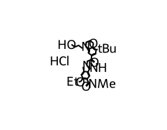 CCOc1cc2c(cc1C(=O)NC)C(=N)N(CC(=O)c1cc3c(c(C(C)(C)C)c1)OCCN3CCCO)C2.Cl